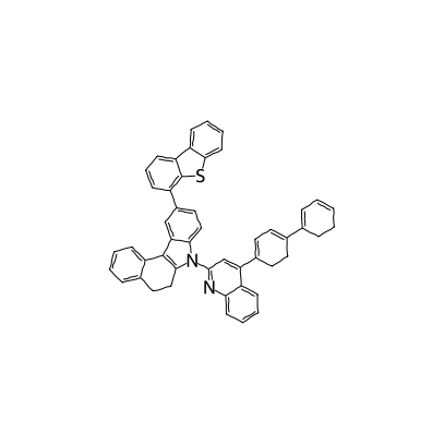 C1=CCCC(C2=CC=C(c3cc(-n4c5c(c6cc(-c7cccc8c7sc7ccccc78)ccc64)-c4ccccc4CC5)nc4ccccc34)CC2)=C1